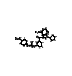 CSc1ccc(NC(=O)Nc2cccc(C(=O)c3cn(C4CCCC4)c4ncnc(N)c34)c2)cc1